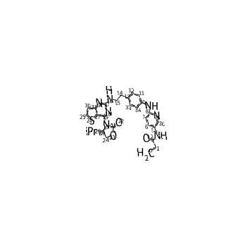 C=CC(=O)Nc1ccc(Nc2ccc(CCNc3nc(N4C(=O)OC[C@@H]4C(C)C)c4sccc4n3)cc2)nc1